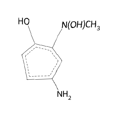 CN(O)c1cc(N)ccc1O